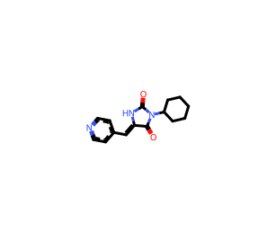 O=C1N/C(=C\c2ccncc2)C(=O)N1C1CCCCC1